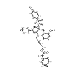 COc1ccccc1Oc1c(NS(=O)(=O)c2ccc(C)cn2)nc(N2CCOCC2)nc1OCC#CCOC(=O)Nc1ccncc1